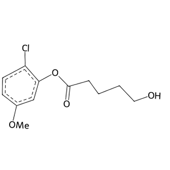 COc1ccc(Cl)c(OC(=O)CCCCO)c1